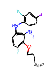 COCCOc1c(F)ccc(Nc2ccc(I)cc2F)c1N